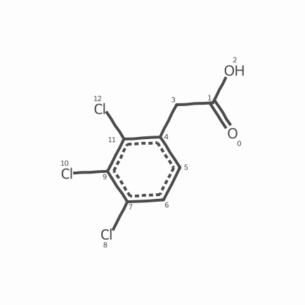 O=C(O)Cc1ccc(Cl)c(Cl)c1Cl